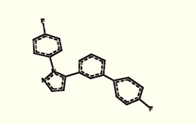 Fc1ccc(-c2cccc(-c3ccnn3-c3ccc(F)cc3)c2)cc1